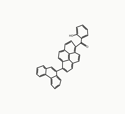 O=C(c1ccccc1O)c1ccc2ccc3c(-c4cc5ccccc5c5ccccc45)ccc4ccc1c2c43